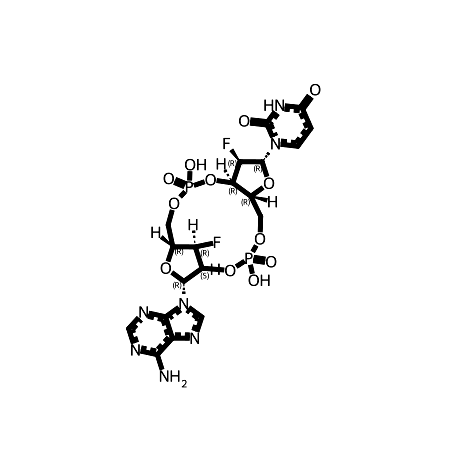 Nc1ncnc2c1ncn2[C@@H]1O[C@@H]2COP(=O)(O)O[C@H]3[C@@H](F)[C@H](n4ccc(=O)[nH]c4=O)O[C@@H]3COP(=O)(O)O[C@@H]1[C@@H]2F